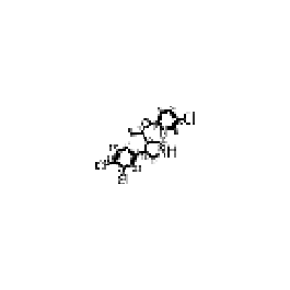 CC(Oc1ccc(Cl)cn1)C1CNCC1c1ccc(Cl)c(Cl)c1